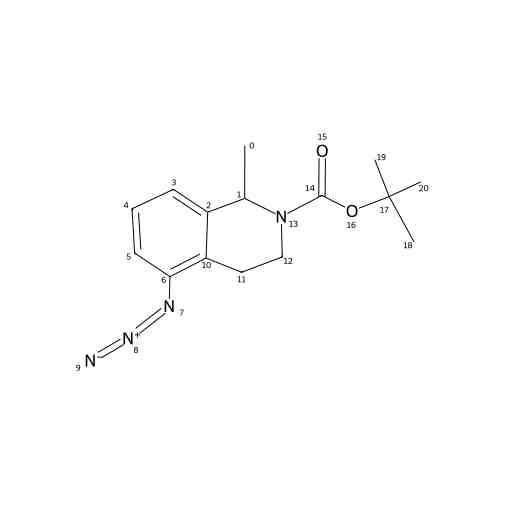 CC1c2cccc(N=[N+]=[N-])c2CCN1C(=O)OC(C)(C)C